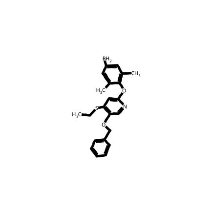 Bc1cc(C)c(Oc2cc(SCC)c(OCc3ccccc3)cn2)c(C)c1